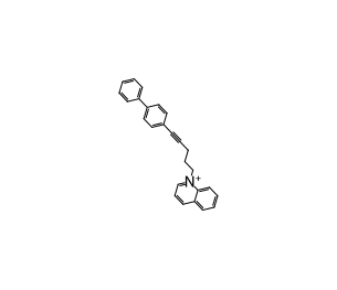 C(#Cc1ccc(-c2ccccc2)cc1)CCC[n+]1cccc2ccccc21